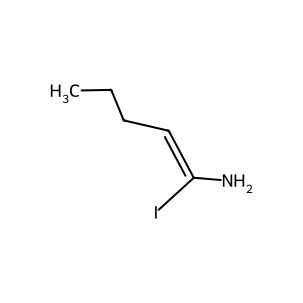 CCCC=C(N)I